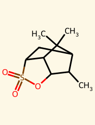 CC1C2OS(=O)(=O)C3CC1C(C)(C)C23